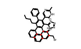 CCCCc1c(-c2ccccc2)c(-c2cnc(C)[nH]c2=O)c(-c2nnn[nH]2)c(N(C(=O)CCBr)c2ccccc2)c1-c1cccc(C)c1-c1ccccc1